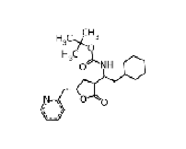 CC(C)(C)OC(=O)N[C@@H](CC1CCCCC1)[C@@H]1C[C@@H](Cc2ccccn2)OC1=O